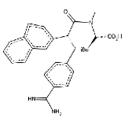 CC[C@H](C)[C@@H](C(=O)O)N(C)C(=O)[C@H](Cc1ccc(C(=N)N)cc1)c1ccc2ccccc2c1